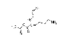 CC(=O)OC(=O)[C@H](CCCCN)NCC=N